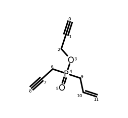 C#CCOP(=O)(CC#C)CC=C